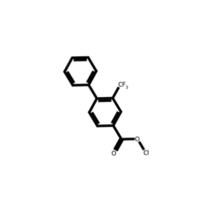 O=C(OCl)c1ccc(-c2ccccc2)c(C(F)(F)F)c1